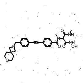 CNC(=O)C(C(=O)NO)N(C)C(=O)c1ccc(C#Cc2ccc(CN3CC4(CCOCC4)C3)cc2)cc1